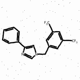 FC(F)(F)c1cc(Cn2cnc(-c3ccccc3)c2)cc(C(F)(F)F)c1